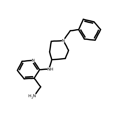 NCc1cccnc1NC1CCN(Cc2ccccc2)CC1